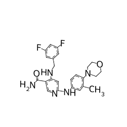 Cc1cc(Nc2cc(NCc3cc(F)cc(F)c3)c(C(N)=O)cn2)ccc1N1CCOCC1